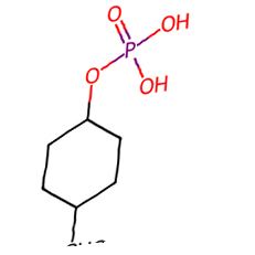 O=CC1CCC(OP(=O)(O)O)CC1